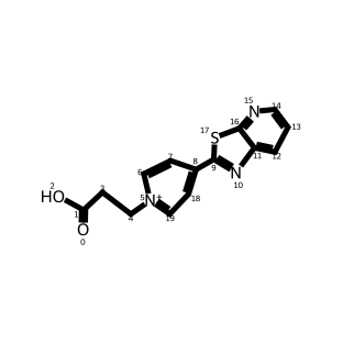 O=C(O)CC[n+]1ccc(-c2nc3cccnc3s2)cc1